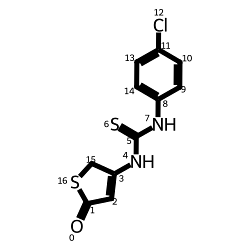 O=C1C=C(NC(=S)Nc2ccc(Cl)cc2)CS1